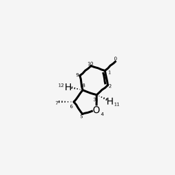 CC1=C[C@H]2OC[C@H](C)[C@H]2CC1